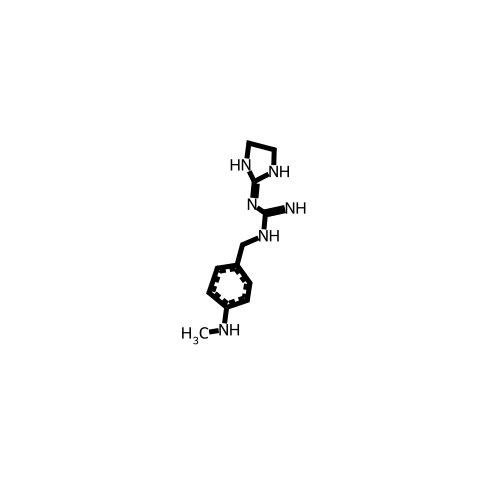 CNc1ccc(CNC(=N)N=C2NCCN2)cc1